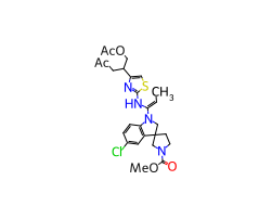 CC=C(Nc1nc(C(COC(C)=O)CC(C)=O)cs1)N1CC2(CCN(C(=O)OC)C2)c2cc(Cl)ccc21